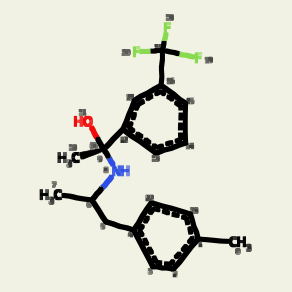 Cc1ccc(CC(C)N[C@](C)(O)c2cccc(C(F)(F)F)c2)cc1